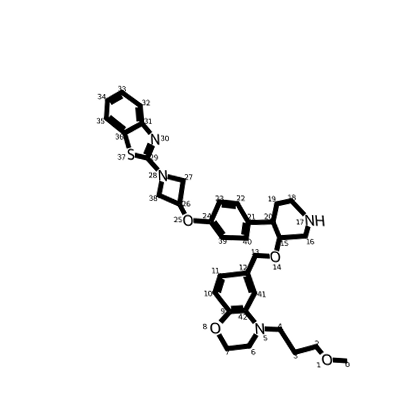 COCCCN1CCOc2ccc(COC3CNCCC3c3ccc(OC4CN(c5nc6ccccc6s5)C4)cc3)cc21